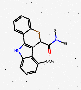 CCN(CC)C(=O)C1Sc2ccccc2-c2[nH]c3cccc(OC)c3c21